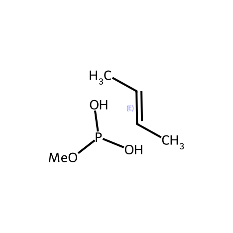 C/C=C/C.COP(O)O